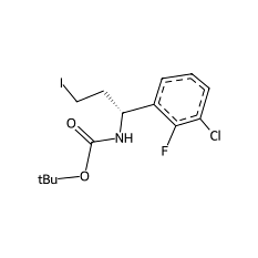 CC(C)(C)OC(=O)N[C@H](CCI)c1cccc(Cl)c1F